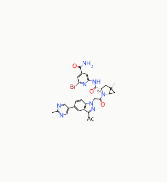 CC(=O)c1nn(CC(=O)N2C3C[C@]3(C)C[C@H]2C(=O)Nc2cc(C(N)=O)cc(Br)n2)c2ccc(-c3cnc(C)nc3)cc12